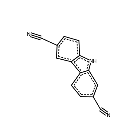 N#Cc1ccc2c(c1)[nH]c1ccc(C#N)cc12